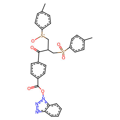 Cc1ccc([S+]([O-])CC(CS(=O)(=O)c2ccc(C)cc2)C(=O)c2ccc(C(=O)On3nnc4ccccc43)cc2)cc1